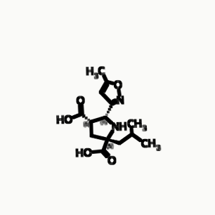 Cc1cc([C@@H]2N[C@](CC(C)C)(C(=O)O)C[C@@H]2C(=O)O)no1